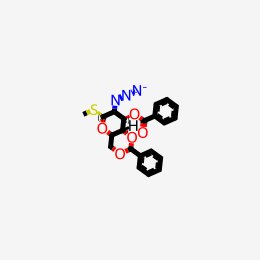 CS[C@@H]1OC2COC(c3ccccc3)O[C@H]2[C@H](OC(=O)c2ccccc2)C1N=[N+]=[N-]